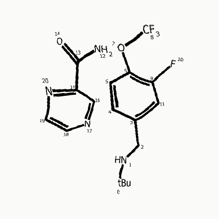 CC(C)(C)NCc1ccc(OC(F)(F)F)c(F)c1.NC(=O)c1cnccn1